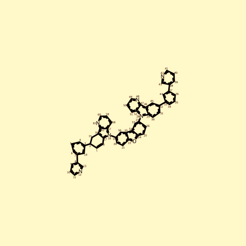 C1=CC(c2cccc(-c3cccnc3)c2)Cc2c1n(-c1ccc3oc4ccc(-n5c6ccc(-c7cccc(-c8cccnc8)c7)cc6c6ncccc65)cc4c3c1)c1cccnc21